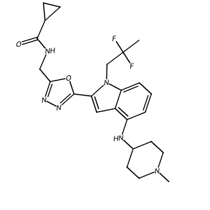 CN1CCC(Nc2cccc3c2cc(-c2nnc(CNC(=O)C4CC4)o2)n3CC(C)(F)F)CC1